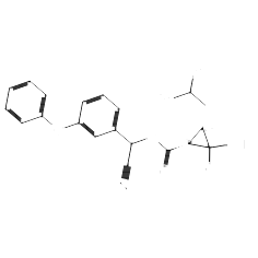 CC1(C)[C@@H](CC(Br)Br)[C@@H]1C(=O)OC(C#N)c1cccc(Oc2ccccc2)c1